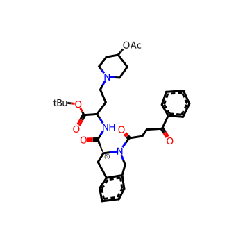 CC(=O)OC1CCN(CCC(NC(=O)[C@@H]2Cc3ccccc3CN2C(=O)CCC(=O)c2ccccc2)C(=O)OC(C)(C)C)CC1